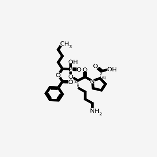 CCCCC(OC(=O)c1ccccc1)P(=O)(O)O[C@@H](CCCCN)C(=O)N1CCC[C@H]1C(=O)O